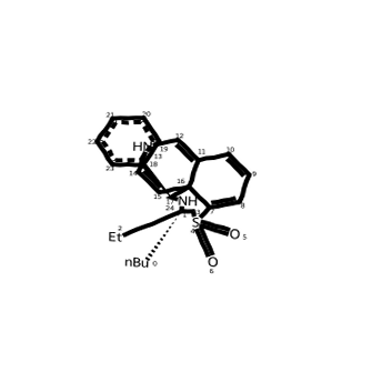 CCCC[C@@]1(CC)CS(=O)(=O)C2=CC=CC3=CNC=CC32[C@H](c2ccccc2)N1